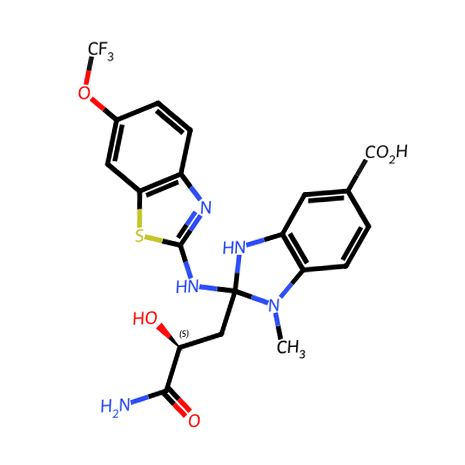 CN1c2ccc(C(=O)O)cc2NC1(C[C@H](O)C(N)=O)Nc1nc2ccc(OC(F)(F)F)cc2s1